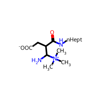 CCCCCCCNC(=O)C(CC(=O)[O-])C(N)[N+](C)(C)C